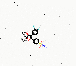 CCC1(C)OC(c2ccc(S(N)(=O)=O)cc2)=C(c2ccc(F)c(F)c2)C1=O